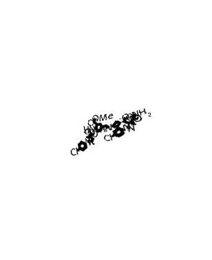 COC(=O)c1cc(CN[C@H]2C[C@@H](C([O])c3c(S(N)(=O)=O)cnn3-c3ccc(Cl)cc3)C2)ccc1NS(=O)(=O)c1cnn(-c2ccc(Cl)cc2)c1